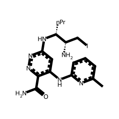 CCC[C@@H](Nc1cc(Nc2cccc(C)n2)c(C(N)=O)nn1)[C@@H](N)CI